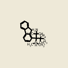 C[SiH](C)C(c1cccc2c1Cc1ccccc1-2)(C(C)(C)C)C(C)(C)N